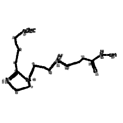 CCCCCCCCCCCCCC1=NCCN1CCNCCC(=O)NO